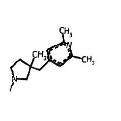 Cc1cc(CC2(C)CCN(I)C2)cc(C)n1